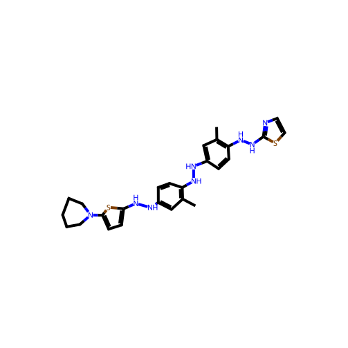 Cc1cc(NNc2ccc(N3CCCCC3)s2)ccc1NNc1ccc(NNc2nccs2)c(C)c1